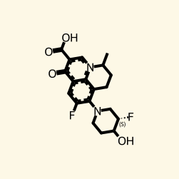 CC1CCc2c(N3CCC(O)[C@@H](F)C3)c(F)cc3c(=O)c(C(=O)O)cn1c23